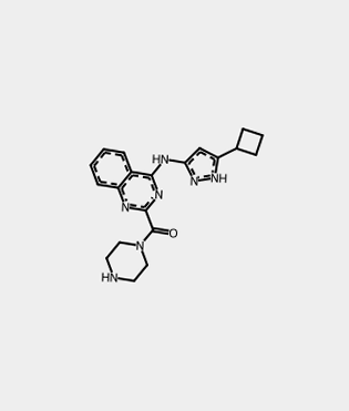 O=C(c1nc(Nc2cc(C3CCC3)[nH]n2)c2ccccc2n1)N1CCNCC1